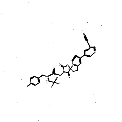 C[C@H](N(Cc1ccc(F)cc1)C(=O)CN1C(=O)O[C@@]2(CCc3cc(-c4cncc(C#N)c4)ccc32)C1=O)C(F)(F)F